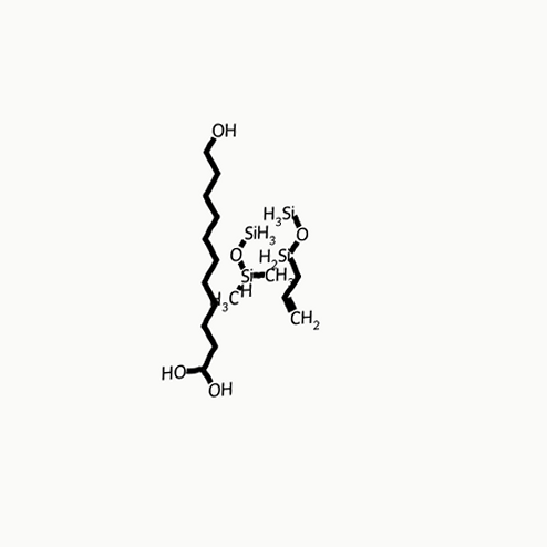 C=CC[SiH2]O[SiH3].C[SiH](C)O[SiH3].OCCCCCCCCCCC(O)O